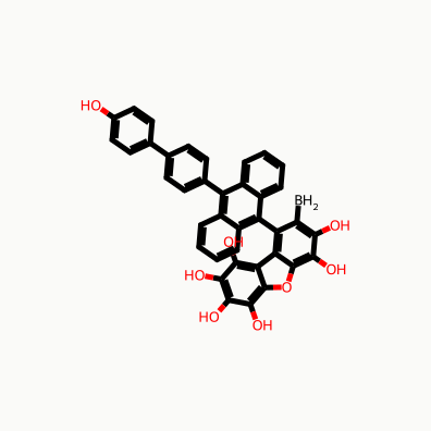 Bc1c(O)c(O)c2oc3c(O)c(O)c(O)c(O)c3c2c1-c1c2ccccc2c(-c2ccc(-c3ccc(O)cc3)cc2)c2ccccc12